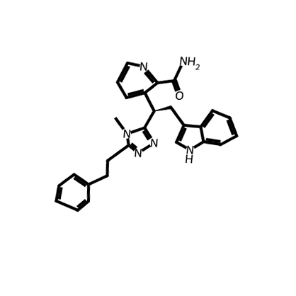 Cn1c(CCc2ccccc2)nnc1[C@H](Cc1c[nH]c2ccccc12)c1cccnc1C(N)=O